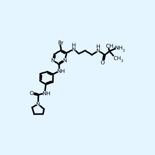 CC(C)(N)C(=O)NCCCNc1nc(Nc2cccc(NC(=O)N3CCCC3)c2)ncc1Br